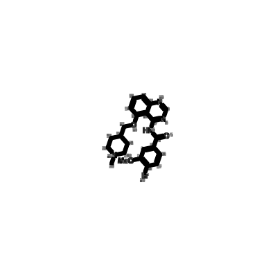 COc1cc(C(=O)Nc2ncnc3cccc(OCC4CCN(C)CC4)c23)ccc1Br